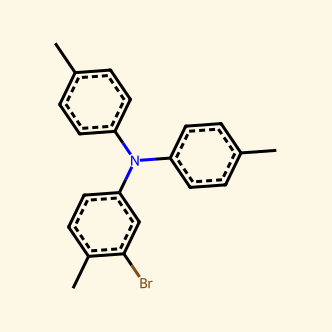 Cc1ccc(N(c2ccc(C)cc2)c2ccc(C)c(Br)c2)cc1